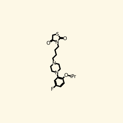 CC(C)Oc1ccc(F)cc1N1CCN(CCCCN2C(=O)CSC2=O)CC1